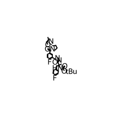 Cc1coc([C@H]2CCCN2C(=O)c2ccc(F)c(-c3nnc(C(C)(Cc4ccc(F)cc4)NC(=O)OC(C)(C)C)o3)c2)n1